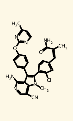 CC(=Cc1ccc(-c2c(-c3ccc(Oc4nccc(C)n4)cc3)c3c(N)ncc(C#N)c3n2C)c(Cl)c1)C(N)=O